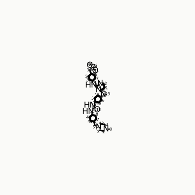 CN1CCN(Cc2ccc(NC(=O)Nc3ccc(N(C)c4ccnc(Nc5ccc(CS(C)(=O)=O)cc5)n4)cc3)cc2)CC1